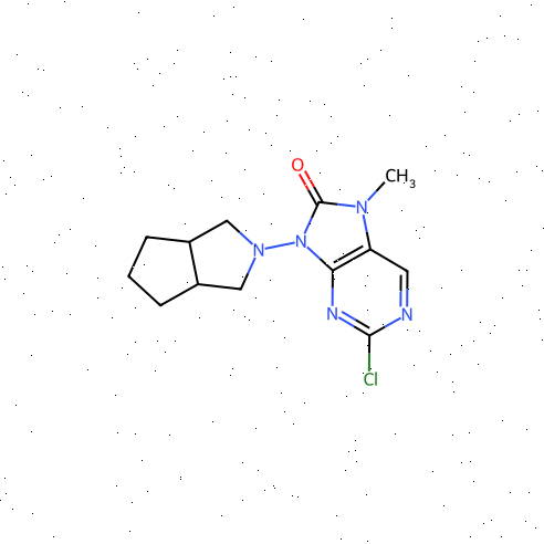 Cn1c(=O)n(N2CC3CCCC3C2)c2nc(Cl)ncc21